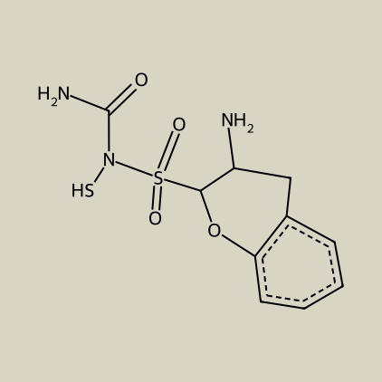 NC(=O)N(S)S(=O)(=O)C1Oc2ccccc2CC1N